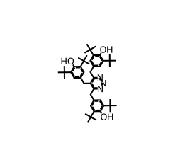 CC(C)(C)c1cc(Cc2nnnc(Cc3cc(C(C)(C)C)c(O)c(C(C)(C)C)c3)c2Cc2cc(C(C)(C)C)c(O)c(C(C)(C)C)c2)cc(C(C)(C)C)c1O